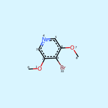 COc1[c]ncc(OC)c1Br